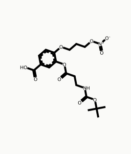 CC(C)(C)OC(=O)NCCC(=O)Oc1cc(C(=O)O)ccc1OCCCO[N+](=O)[O-]